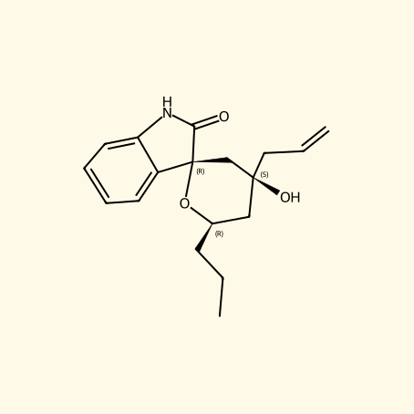 C=CC[C@]1(O)C[C@@H](CCC)O[C@@]2(C1)C(=O)Nc1ccccc12